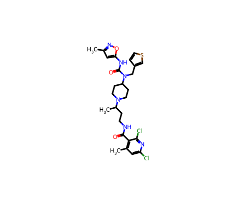 Cc1cc(NC(=O)N(Cc2ccsc2)C2CCN(C(C)CCNC(=O)c3c(C)cc(Cl)nc3Cl)CC2)on1